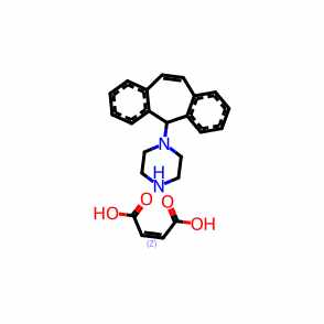 C1=Cc2ccccc2C(N2CCNCC2)c2ccccc21.O=C(O)/C=C\C(=O)O